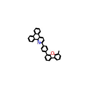 Cc1cccc2c1oc1c(-c3ccc(-c4ccc5c6ccccc6c6ccccc6c5n4)cc3)cccc12